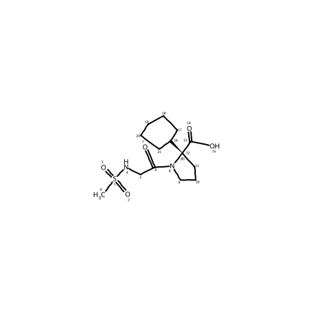 CS(=O)(=O)NCC(=O)N1CCC[C@]1(C(=O)O)C1CCCCC1